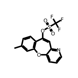 Cc1ccc2c(c1)Oc1cccnc1C=C2OS(=O)(=O)C(F)(F)F